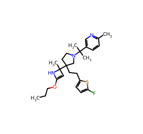 CCCOC1=CC(C)(C2(CCc3ccc(F)s3)CCN(C(C)(C)c3ccc(C)nc3)C2)N1